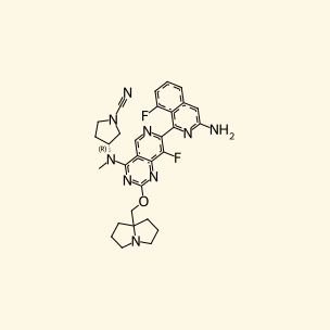 CN(c1nc(OCC23CCCN2CCC3)nc2c(F)c(-c3nc(N)cc4cccc(F)c34)ncc12)[C@@H]1CCN(C#N)C1